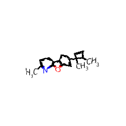 Cc1ccc2c(n1)oc1cc(C3(C)C=CC3C)ccc12